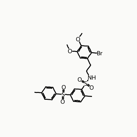 COc1cc(Br)c(CCNS(=O)(=O)c2cc(S(=O)(=O)c3ccc(C)cc3)ccc2C)cc1OC